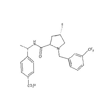 CC(NC(=O)C1C[C@H](F)CN1Cc1cccc(C(F)(F)F)c1)c1ccc(C(=O)O)cc1